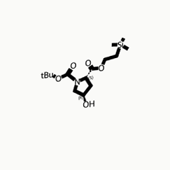 CC(C)(C)OC(=O)N1C[C@H](O)C[C@H]1C(=O)OCC[Si](C)(C)C